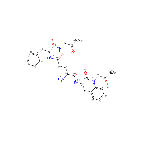 CNC(=O)CNC(=O)C(Cc1ccccc1)NC(=O)CCC(N)C(=O)NC(Cc1ccccc1)C(=O)NCC(=O)NC